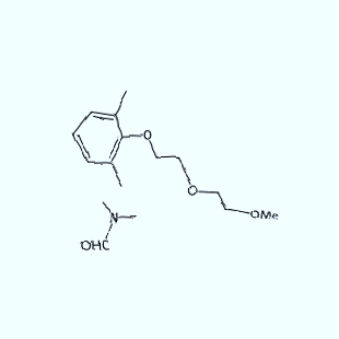 CN(C)C=O.COCCOCCOc1c(C)cccc1C